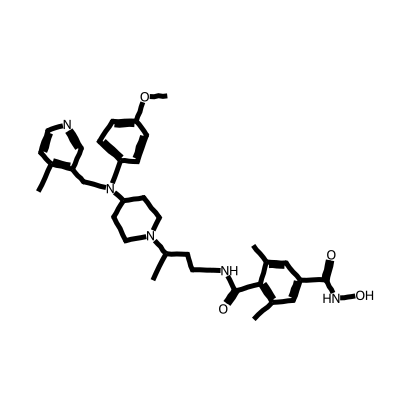 COc1ccc(N(Cc2cnccc2C)C2CCN(C(C)CCNC(=O)c3c(C)cc(C(=O)NO)cc3C)CC2)cc1